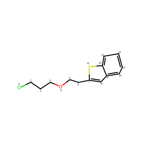 ClCCCOCCc1cc2ccccc2s1